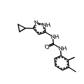 Cc1cccc(NC(=O)Nc2cc(C3CC3)n[nH]2)c1C